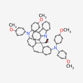 COc1ccc(N(c2ccc(OC)cc2)c2ccc3c(c2)C2(c4cc(N(c5ccc(OC)cc5)c5ccc(OC)cc5)ccc4C=C3)c3ccccc3-n3c4ccccc4c4cccc2c43)cc1